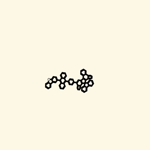 c1ccc2c(c1)-c1ccccc1C21c2c(cc(-c3ccc(-c4c5ccccc5c(-c5ccc6oc7ccccc7c6c5)c5ccccc45)cc3)c3ccccc23)-c2c1c1ccccc1c1ccccc21